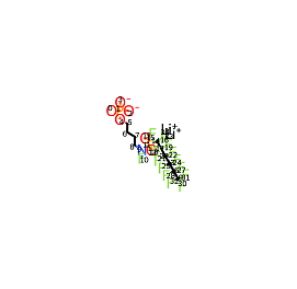 O=P([O-])([O-])OCCCCN(F)S(=O)(=O)C(F)(F)C(F)(F)C(F)(F)C(F)(F)C(F)(F)C(F)(F)F.[Li+].[Li+]